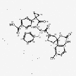 O=C1Nc2ccc(Cl)cc2C2(CCN(C(=O)[C@H](Cc3ccccc3)NC(=O)C3(c4ccc(C(=O)O)cc4)CC3)C2)O1